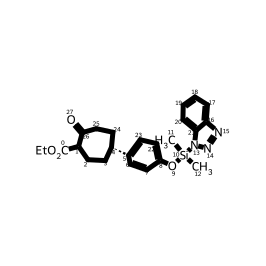 CCOC(=O)C1CC[C@@H](c2ccc(O[Si](C)(C)n3nnc4ccccc43)cc2)CCC1=O